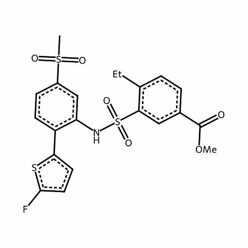 CCc1ccc(C(=O)OC)cc1S(=O)(=O)Nc1cc(S(C)(=O)=O)ccc1-c1ccc(F)s1